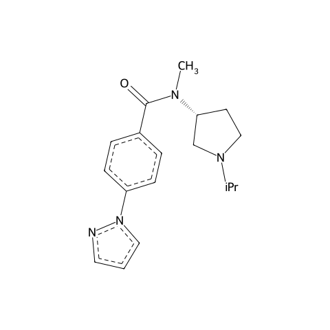 CC(C)N1CC[C@@H](N(C)C(=O)c2ccc(-n3cccn3)cc2)C1